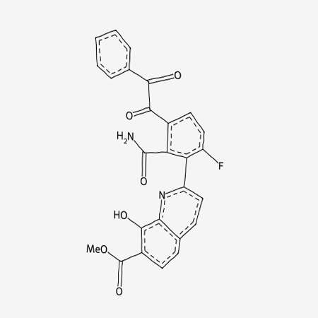 COC(=O)c1ccc2ccc(-c3c(F)ccc(C(=O)C(=O)c4ccccc4)c3C(N)=O)nc2c1O